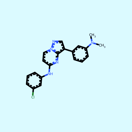 CN(C)c1cccc(-c2cnn3ccc(Nc4cccc(Cl)c4)nc23)c1